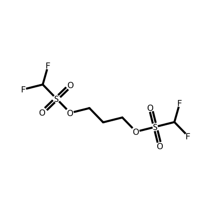 O=S(=O)(OCCCOS(=O)(=O)C(F)F)C(F)F